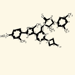 Cc1cc(C(=O)O)ccc1-c1nc(C)c(-c2cnc(N3CC(F)C3)nc2CN2C(=O)O[C@H](c3cc(C(F)(F)F)cc(C(F)(F)F)c3)[C@@H]2C)s1